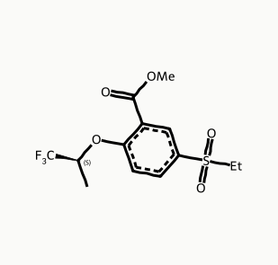 CCS(=O)(=O)c1ccc(O[C@@H](C)C(F)(F)F)c(C(=O)OC)c1